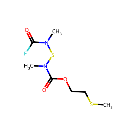 CSCCOC(=O)N(C)SN(C)C(=O)F